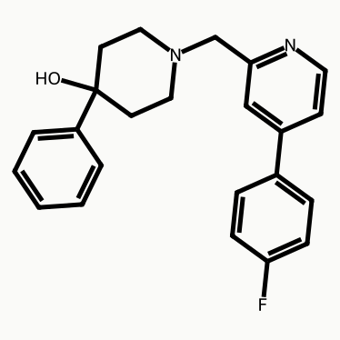 OC1(c2ccccc2)CCN(Cc2cc(-c3ccc(F)cc3)ccn2)CC1